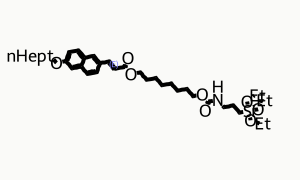 CCCCCCCOc1ccc2cc(/C=C/C(=O)OCCCCCCCCOC(=O)NCCC[Si](OCC)(OCC)OCC)ccc2c1